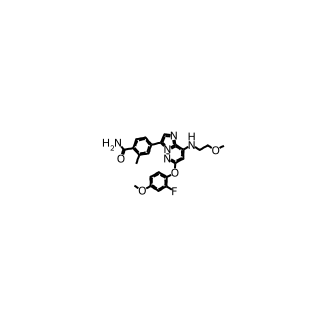 COCCNc1cc(Oc2ccc(OC)cc2F)nn2c(-c3ccc(C(N)=O)c(C)c3)cnc12